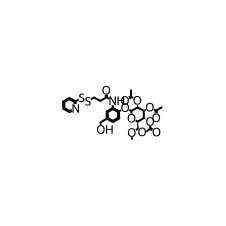 COC(=O)[C@H]1OC(Oc2ccc(CO)cc2NC(=O)CCSSc2ccccn2)[C@H](OC(C)=O)[C@@H](OC(C)=O)[C@@H]1OC(C)=O